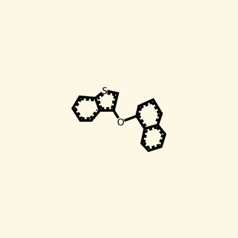 c1ccc2c(Oc3csc4ccccc34)cccc2c1